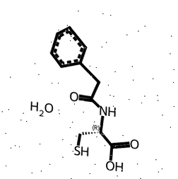 O.O=C(Cc1ccccc1)N[C@@H](CS)C(=O)O